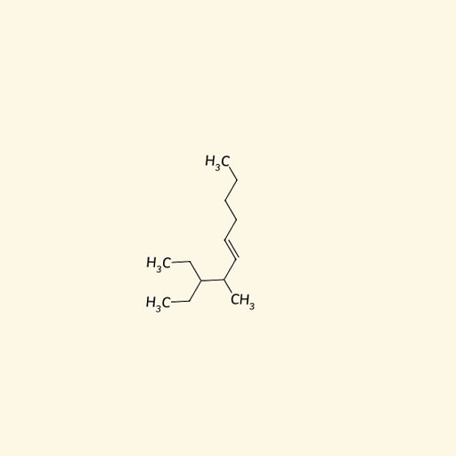 CCCCC=CC(C)C(CC)CC